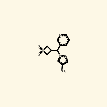 Nc1cnn(C(c2cccnc2)C2CS(=O)(=O)C2)c1